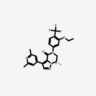 CCOc1cc(N2C[C@H](C)n3ncc(-c4cc(C)nc(C)c4)c3C2=O)ccc1C(F)(F)F